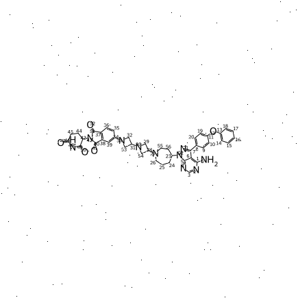 Nc1ncnc2c1c(-c1ccc(Oc3ccccc3)cc1)nn2C1CCCN(C2CN(C3CN(c4ccc5c(c4)C(=O)N(C4CCC(=O)NC4=O)C5=O)C3)C2)CC1